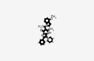 COc1cccc2c1ccn2C(C)c1c(C)[nH]c2c(N3CCCCC3)c(-c3ccccc3)nn2c1=O